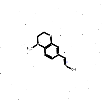 CN1CCOc2cc(/C=N/O)ccc21